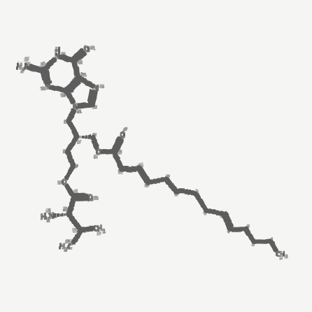 CCCC/C=C/CCCCCCCC(=O)OC[C@H](CCOC(=O)[C@@H](N)C(C)C)Cn1cnc2c(=O)[nH]c(N)nc21